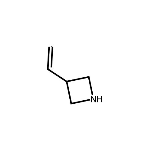 [CH]=CC1CNC1